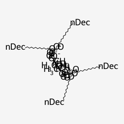 CCCCCCCCCCCCCCCCCCCCCC(=O)OC[C@H](COP(=O)([O-])OCC[N+](C)(C)C)OC(=O)CCCCCCCCCCCCCCCCCCCCC.CCCCCCCCCCCCCCCCCCCCCCC(=O)OC[C@H](COP(=O)([O-])OCC[N+](C)(C)C)OC(=O)CCCCCCCCCCCCCCCCCCCCCC